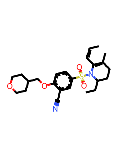 C/C=C\C1=C(C)CCC(CC)N1S(=O)(=O)c1ccc(OCC2CCOCC2)c(C#N)c1